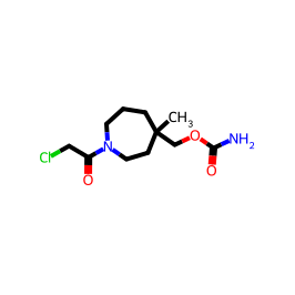 CC1(COC(N)=O)CCCN(C(=O)CCl)CC1